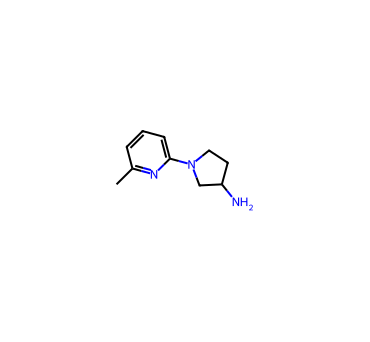 Cc1cccc(N2CCC(N)C2)n1